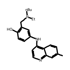 CCCCN(CC)Cc1cc(Nc2ccnc3cc(C)ccc23)ccc1O